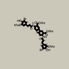 COC(=O)c1cc2c(cc1NC(=O)C=Cc1cc(Br)c(O)c(OC)c1)sc1cc(NC(=O)C=Cc3cc(Br)c(O)c(OC)c3)c(C(=O)OC)cc12